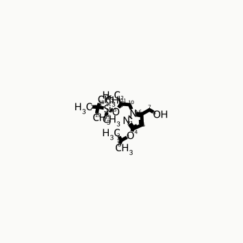 CC(C)Oc1cc(CO)n(C[C@H](C)O[Si](C)(C)C(C)(C)C)n1